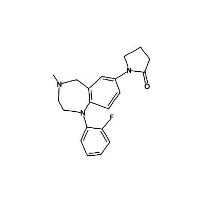 CN1CCN(c2ccccc2F)c2ccc(N3CCCC3=O)cc2C1